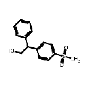 CS(=O)(=O)c1ccc(C(CO)c2ccccc2)cc1